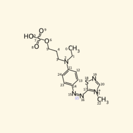 CCN(CCCOS(=O)(=O)O)c1ccc(/N=N\c2snc[n+]2C)cc1